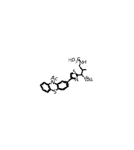 CC(=O)N1c2ccccc2Sc2ccc(-c3csc(C(C(C)CNC(=O)O)C(C)(C)C)n3)cc21